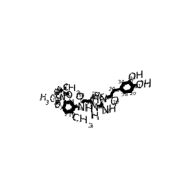 Cc1ccc(N(S(C)(=O)=O)S(C)(=O)=O)cc1NC(=O)[C@H](NC(=N)NC(=O)Cc1ccc(O)c(O)c1)C(C)C